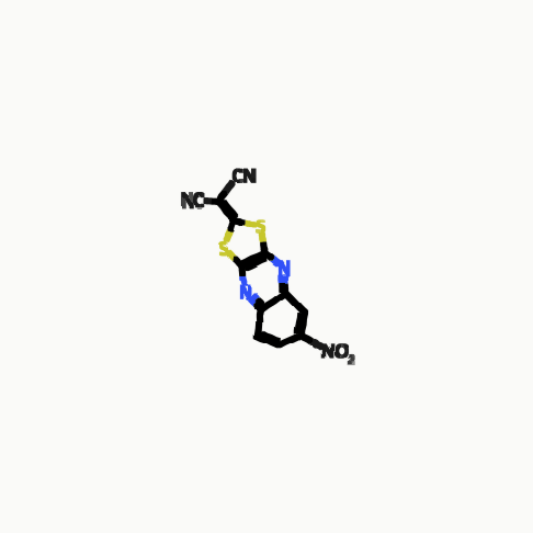 N#CC(C#N)=C1Sc2nc3ccc([N+](=O)[O-])cc3nc2S1